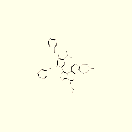 CCNC(=O)c1noc(-c2cc(C(C)C)c(OCc3ccccc3)cc2OCc2ccccc2)c1-c1ccc2c(c1)CCN(C)CC2